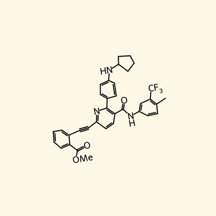 COC(=O)c1ccccc1C#Cc1ccc(C(=O)Nc2ccc(C)c(C(F)(F)F)c2)c(-c2ccc(NC3CCCC3)cc2)n1